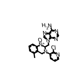 Cc1cccc2c1CN(c1cccnc1Cl)C(Cn1cnc3c(N)ncnc31)[N+]2=O